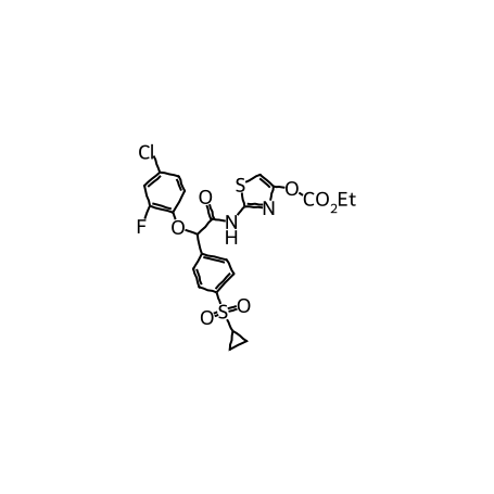 CCOC(=O)Oc1csc(NC(=O)C(Oc2ccc(Cl)cc2F)c2ccc(S(=O)(=O)C3CC3)cc2)n1